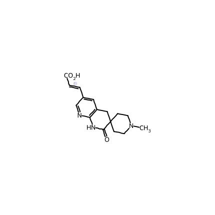 CN1CCC2(CC1)Cc1cc(/C=C/C(=O)O)cnc1NC2=O